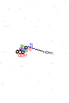 CCCCCCCCCCCCCCCCCCNC(=O)Cc1cc(Br)c(Nc2ccc(O)c3c2C(=O)c2ccccc2C3=O)c(Br)c1